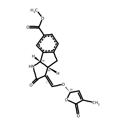 COC(=O)c1ccc2c(c1)[C@H]1NC(=O)/C(=C/O[C@@H]3C=C(C)C(=O)O3)[C@H]1C2